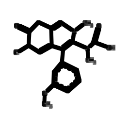 COc1cccc(C2=C(N(C)C(=O)O)N(C)C=C3CC(=O)C(Cl)C=C32)c1